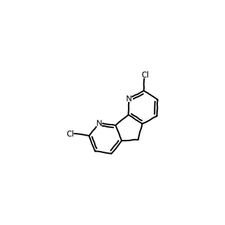 Clc1ccc2c(n1)-c1nc(Cl)ccc1C2